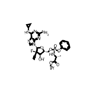 C#C[C@@]1(F)[C@H](O)[C@@H](COP(=O)(N[C@H](C)C(=O)OC(C)C)Oc2ccccc2)O[C@H]1n1cnc2c(NC3CC3)nc(N)nc21